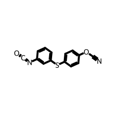 N#COc1ccc(Sc2cccc(N=C=O)c2)cc1